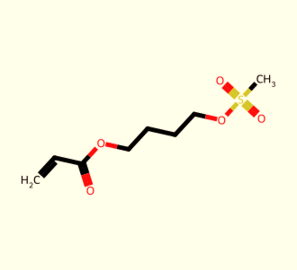 C=CC(=O)OCCCCOS(C)(=O)=O